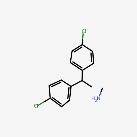 CC(c1ccc(Cl)cc1)c1ccc(Cl)cc1.CN